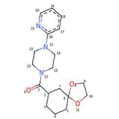 O=C(C1CCCC2(C1)OCCO2)N1CCN(c2ccccn2)CC1